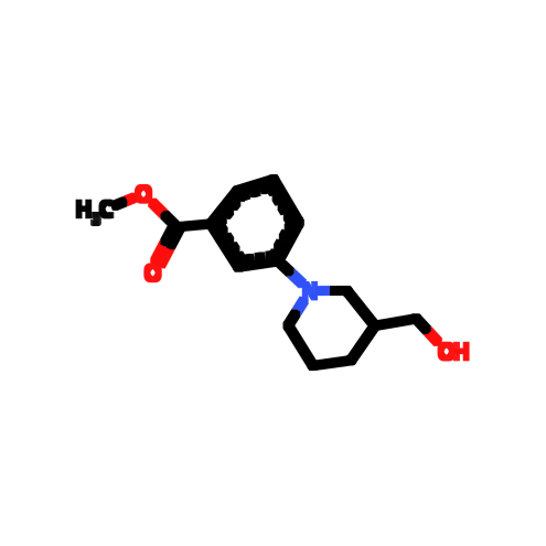 COC(=O)c1cccc(N2CCCC(CO)C2)c1